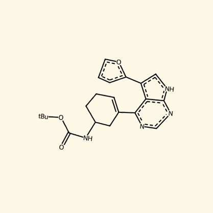 CC(C)(C)OC(=O)NC1CCC=C(c2ncnc3[nH]cc(-c4ccco4)c23)C1